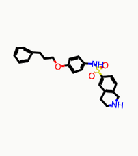 O=S(=O)(Nc1ccc(OCCCc2ccccc2)cc1)c1ccc2c(c1)CCNC2